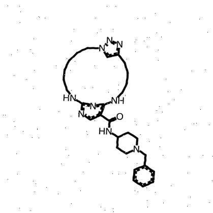 O=C(NC1CCN(Cc2ccccc2)CC1)c1cnc2nc1NCCCCc1cn(nn1)CCCCCCN2